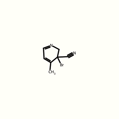 CC1=CC=NCC1(Br)C#N